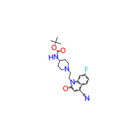 CC(C)(C)OC(=O)NC1CCN(CCn2c(=O)cc(C#N)c3ccc(F)cc32)CC1